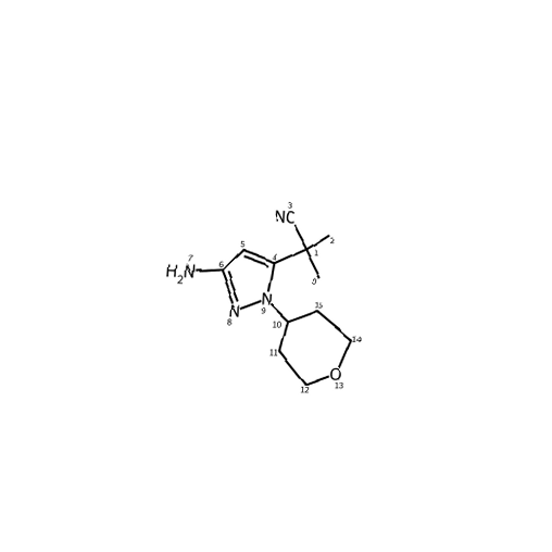 CC(C)(C#N)c1cc(N)nn1C1CCOCC1